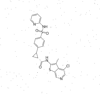 Cc1c(NC(=O)[C@@H]2CC2c2ccc(S(=O)(=O)Nc3ccccn3)cc2)sc2cncc(Cl)c12